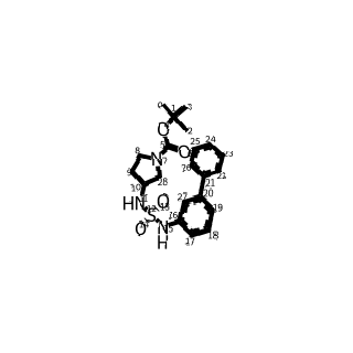 CC(C)(C)OC(=O)N1CCC(NS(=O)(=O)Nc2cccc(-c3ccccc3)c2)C1